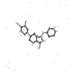 Cc1cc(-c2cnc3c(F)nn(Cc4cccnc4)c3c2)ccc1F